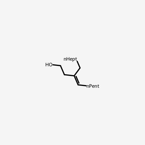 CCCCCC=C(CCO)CCCCCCCC